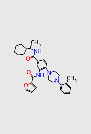 Cc1ccccc1N1CCN(c2ccc(C(=O)NC(C)C3CCCCC3)cc2NC(=O)c2ccco2)CC1